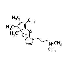 CC1=C(C)C(C)(C)[C]([Zr][C]2=C(CCCN(C)C)C=CC2)=C1C